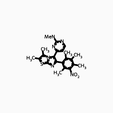 CNc1nccc(-c2c(-c3c(C)c(C)c(C)c([N+](=O)[O-])c3C)nc3sc(C)c(C)n23)n1